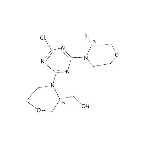 C[C@@H]1COCCN1c1nc(Cl)nc(N2CCOC[C@H]2CO)n1